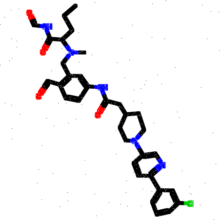 CCCC(C(=O)NC=O)N(C)Cc1cc(NC(=O)CC2CCN(c3ccc(-c4cccc(Cl)c4)nc3)CC2)ccc1C=O